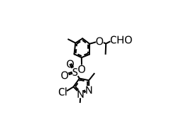 Cc1cc(OC(C)C=O)cc(OS(=O)(=O)c2c(C)nn(C)c2Cl)c1